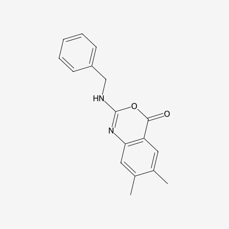 Cc1cc2nc(NCc3ccccc3)oc(=O)c2cc1C